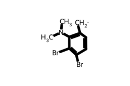 [CH2]c1ccc(Br)c(Br)c1N(C)C